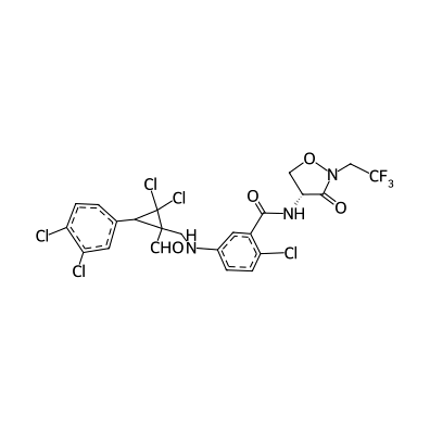 O=CC1(CNc2ccc(Cl)c(C(=O)N[C@@H]3CON(CC(F)(F)F)C3=O)c2)C(c2ccc(Cl)c(Cl)c2)C1(Cl)Cl